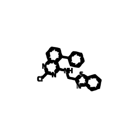 Clc1nc(NCc2nc3ccccc3s2)c2c(-c3ccccc3)cccc2n1